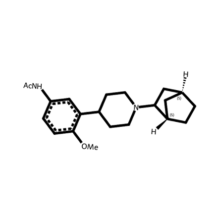 COc1ccc(NC(C)=O)cc1C1CCN(C2C[C@H]3CC[C@H]2C3)CC1